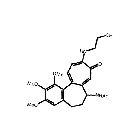 COc1cc2c(c(OC)c1OC)-c1ccc(NCCO)c(=O)cc1C(NC(C)=O)CC2